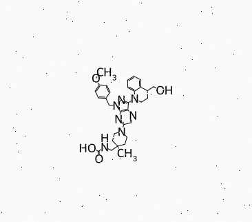 COc1ccc(Cn2nc(N3CCC(CO)c4ccccc43)c3ncc(N4CCC(C)(CNC(=O)O)CC4)nc32)cc1